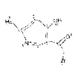 CCC(=O)c1cnc(S)nc1O